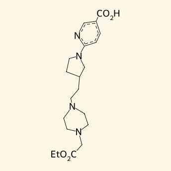 CCOC(=O)CN1CCN(CCC2CCN(c3ccc(C(=O)O)cn3)C2)CC1